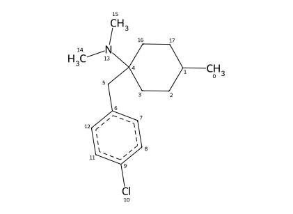 CC1CCC(Cc2ccc(Cl)cc2)(N(C)C)CC1